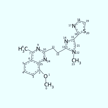 COc1cccc2c(C)nc(CCc3nc(-c4nccs4)cn3C)nc12